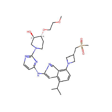 COCCO[C@@H]1CCN(c2nccc(Nc3cc4c(C(C)C)ccc(N5CC(CS(C)(=O)=O)C5)c4cn3)n2)C[C@H]1O